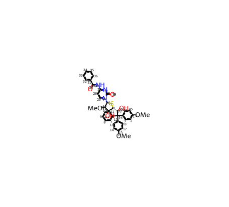 COc1ccc(C(c2ccccc2)(c2ccc(OC)cc2)C(O)[C@H]2SC(n3ccc(NC(=O)c4ccccc4)nc3=O)[C@H](OC)[C@@H]2O)cc1